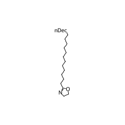 CCCCCCCCCCCCCCCCCCCCCCC1=NCCO1